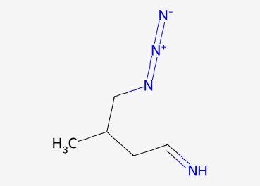 CC(CC=N)CN=[N+]=[N-]